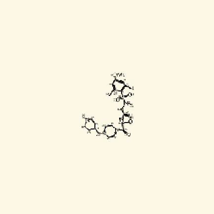 COc1cc(C)c(S(=O)(=O)N(C)Cc2noc(C(=O)N3CCN(CC4CCN(C)CC4)CC3)n2)c(C)c1